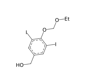 CCOCOc1c(I)cc(CO)cc1I